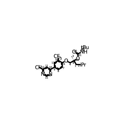 CC(C)C[C@@](C)(COc1ccc(-c2cc(Cl)ncn2)cc1C(F)(F)F)OC(=O)NC(C)(C)C